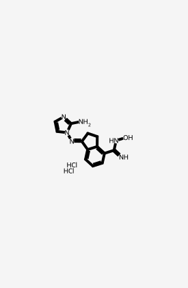 Cl.Cl.N=C(NO)c1cccc2c1CCC2=Nn1ccnc1N